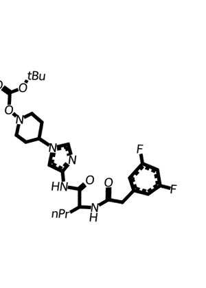 CCCC(NC(=O)Cc1cc(F)cc(F)c1)C(=O)Nc1cn(C2CCN(OC(=O)OC(C)(C)C)CC2)cn1